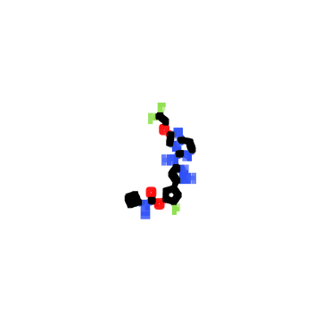 O=C(NC12CC(C1)C2)O[C@H]1C[C@@H](c2cc(Nc3nccc4nc(OCC(F)F)cn34)n[nH]2)C[C@H]1F